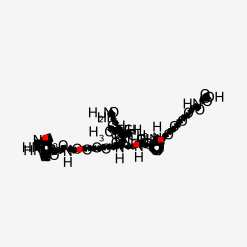 CC(C)C(=O)[C@H](CCCNC(N)=O)NC(=O)[C@@H](NC(=O)[C@@H](CCCCNC(=O)COC1CCCCCC2=C1NNN2CCOCCOCCOCCOCCC(=O)NCCS(=O)(=O)O)NC(=O)CCOCCOCCOCCOCCNC(=O)CCC(=O)N1Cc2ccccc2C2=C(NNN2N)c2ccccc21)C(C)C